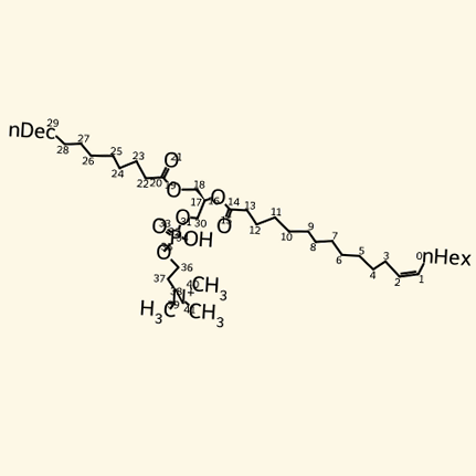 CCCCCC/C=C\CCCCCCCCCCCC(=O)O[C@H](COC(=O)CCCCCCCCCCCCCCCCC)COP(=O)(O)OCC[N+](C)(C)C